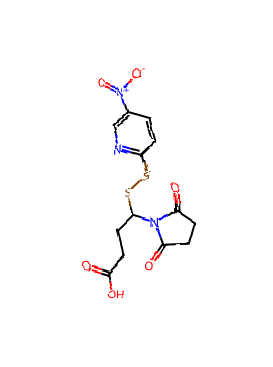 O=C(O)CCC(SSc1ccc([N+](=O)[O-])cn1)N1C(=O)CCC1=O